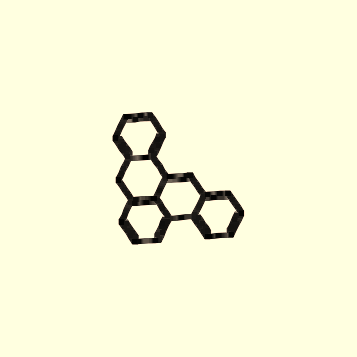 c1ccc2c(c1)Cc1cccc3c1c-2cc1ccccc13